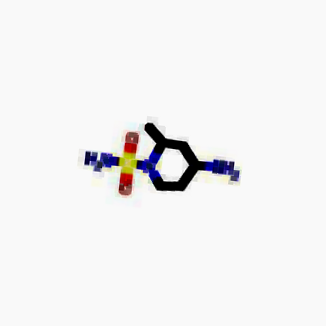 CC1CC(N)CCN1S(N)(=O)=O